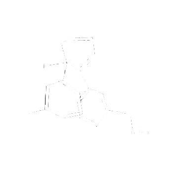 CCCCCCCOc1cccc(C2=CC=CCC2(F)c2cccc(F)c2)c1